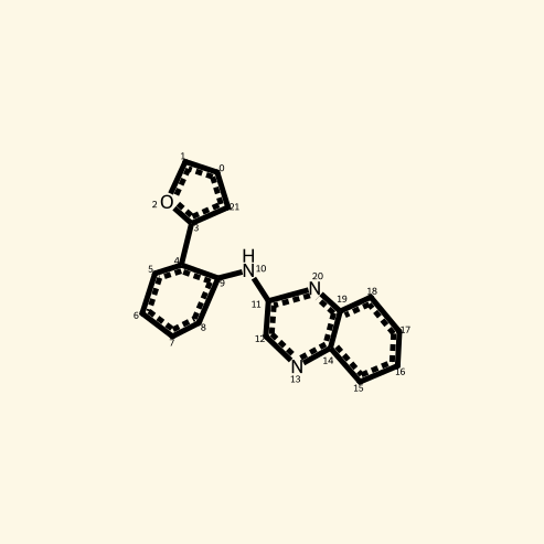 c1coc(-c2ccccc2Nc2cnc3ccccc3n2)c1